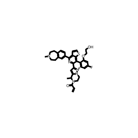 C=CC(=O)N1CCn2nc(-c3nc(-c4ccc5c(c4)CCN(C)CC5)c4ccsc4c3-c3c(F)cc(F)cc3OCCO)cc2C1C